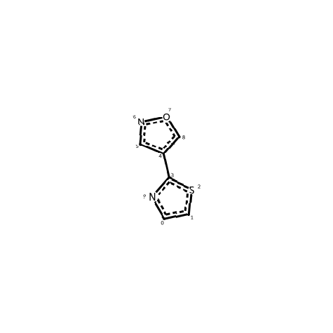 c1csc(-c2cnoc2)n1